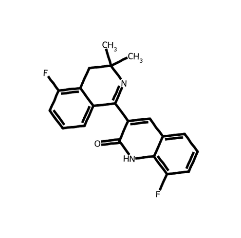 CC1(C)Cc2c(F)cccc2C(c2cc3cccc(F)c3[nH]c2=O)=N1